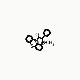 CN(C)C(C(=O)N1c2ccccc2Sc2ccccc21)c1ccccc1